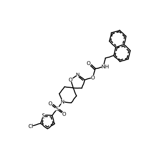 O=C(NCc1cccc2ccccc12)OC1=NOC2(CCN(S(=O)(=O)c3ccc(Cl)s3)CC2)C1